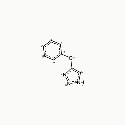 c1ccc(Oc2c[nH]nn2)cc1